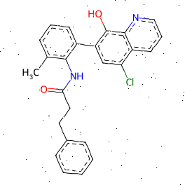 Cc1cccc(-c2cc(Cl)c3cccnc3c2O)c1NC(=O)CCc1ccccc1